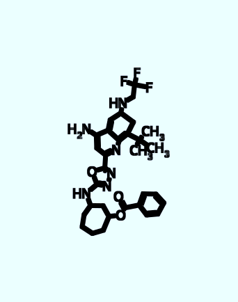 CC(C)(C)C1=c2nc(-c3nnc(NC4CCCCC(OC(=O)c5ccccc5)C4)o3)cc(N)c2=CC(NCC(F)(F)F)C1